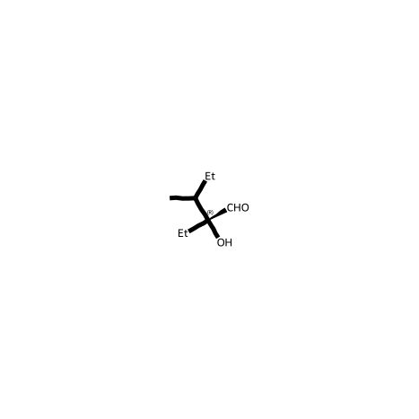 CCC(C)[C@@](O)(C=O)CC